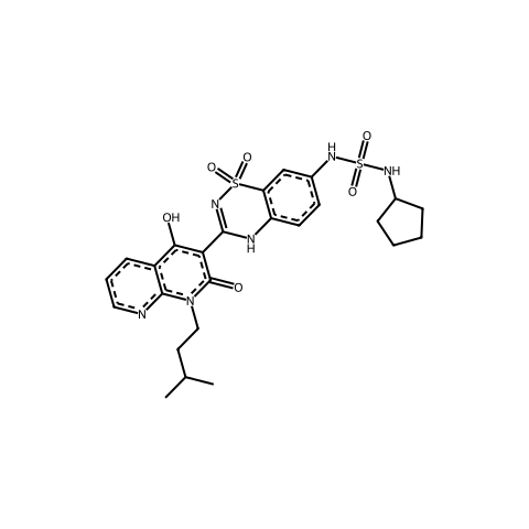 CC(C)CCn1c(=O)c(C2=NS(=O)(=O)c3cc(NS(=O)(=O)NC4CCCC4)ccc3N2)c(O)c2cccnc21